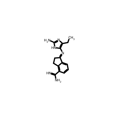 CCc1nc(N)[nH]c1N=C1CCc2c(C(=N)N)cccc21